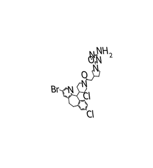 Nc1noc(N2CCC(CC(=O)N3CCC(C4c5ncc(Br)cc5CCc5cc(Cl)cc(Cl)c54)CC3)C2)n1